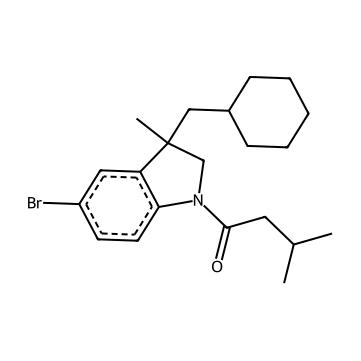 CC(C)CC(=O)N1CC(C)(CC2CCCCC2)c2cc(Br)ccc21